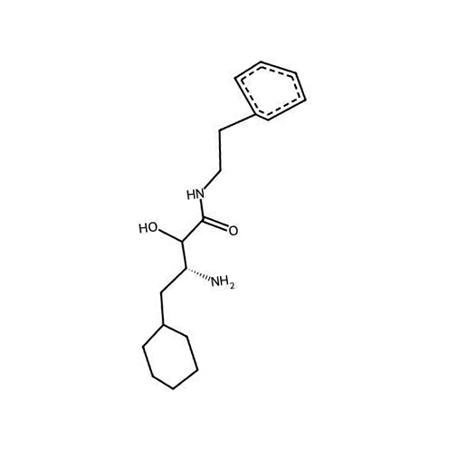 N[C@H](CC1CCCCC1)C(O)C(=O)NCCc1ccccc1